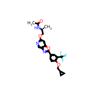 CC(=O)N[C@@H](C)COc1cc2oc(-c3ccc(OCC4CC4)c(C(F)(F)F)c3)nc2cn1